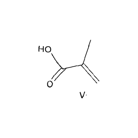 C=C(C)C(=O)O.[V]